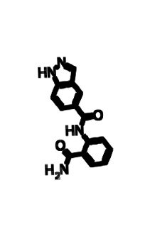 NC(=O)c1ccccc1NC(=O)c1ccc2[nH]ncc2c1